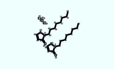 CCCCCCCCn1sccc1=O.CCCCCCCCn1sccc1=O.[Cl-].[Cl-].[Cu+2]